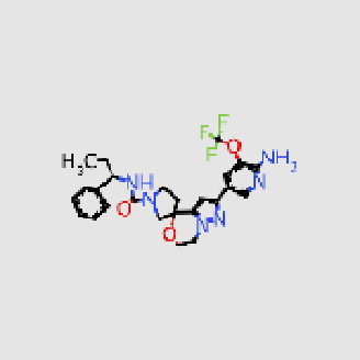 CC[C@@H](NC(=O)N1CCC2(C1)OCCn1nc(-c3cnc(N)c(OC(F)(F)F)c3)cc12)c1ccccc1